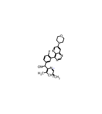 C=C/C=N\C(=C(C)C)C(N=O)c1ccc(F)c(-c2ncnc3cc(N4CCOCC4)cnc23)c1